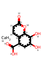 O=C(O)c1cc(O)c(O)c2oc(=O)ccc12.[CaH2]